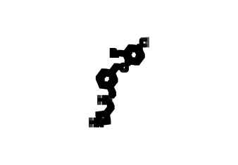 Clc1ccc(OCc2cccc(CNCC3CNC3)c2)c(Br)c1